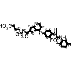 Cc1ccc(F)c(NC(=O)Nc2ccc(Oc3ccnc4cc(C(=O)N=S(C)(=O)CCCC(=O)O)sc34)cc2F)c1